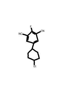 CCC1CCC(c2cc(C#N)c(F)c(C#N)c2)CC1